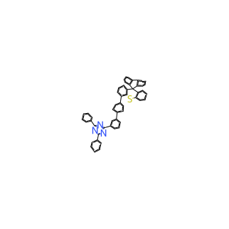 c1ccc(-c2nc(-c3ccccc3)nc(-c3cccc(-c4ccc(-c5cccc6c5Sc5ccccc5C65c6ccccc6-c6ccccc65)cc4)c3)n2)cc1